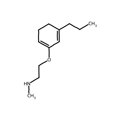 CCCC1=CC(OCCNC)=CCC1